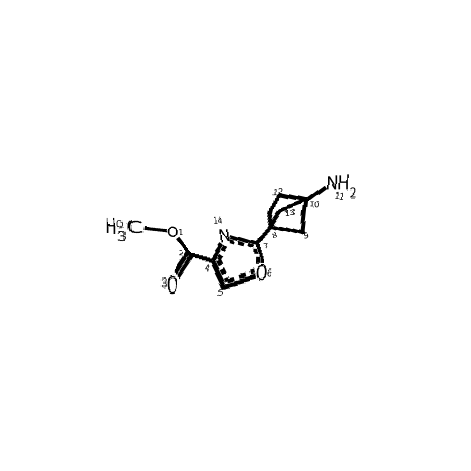 COC(=O)c1coc(C23CC(N)(C2)C3)n1